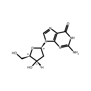 [2H][C@]1(O)C[C@H](n2cnc3c(=O)[nH]c(N)nc32)O[C@@H]1CO